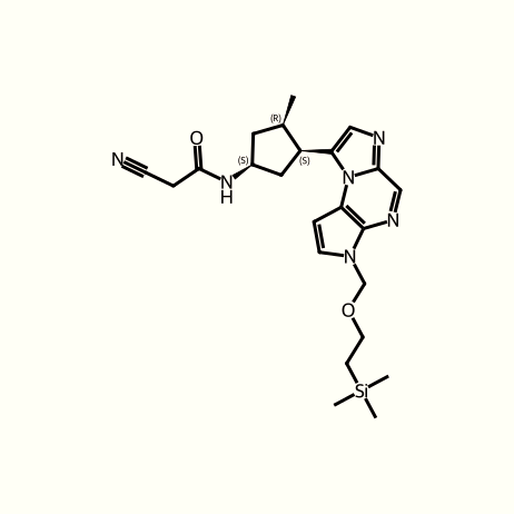 C[C@@H]1C[C@H](NC(=O)CC#N)C[C@@H]1c1cnc2cnc3c(ccn3COCC[Si](C)(C)C)n12